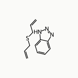 C=CCSCC=C.c1ccc2[nH]nnc2c1